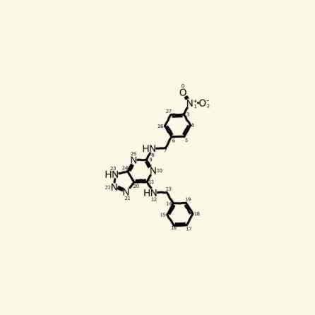 O=[N+]([O-])c1ccc(CNc2nc(NCc3ccccc3)c3nn[nH]c3n2)cc1